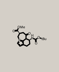 COC(=O)[C@H]1CC(=O)C2c3c(ccn3C1)CC[C@@H]2NC(=O)OC(C)(C)C